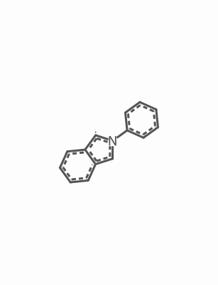 [c]1c2ccccc2cn1-c1ccccc1